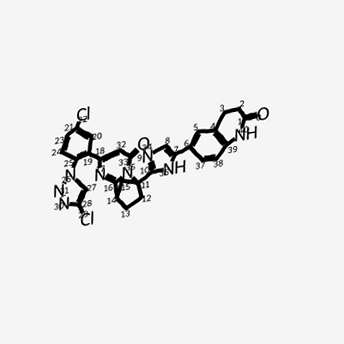 O=C1CCc2cc(-c3cnc(C45CCC(C4)c4nc(-c6cc(Cl)ccc6-n6cc(Cl)nn6)cc(=O)n45)[nH]3)ccc2N1